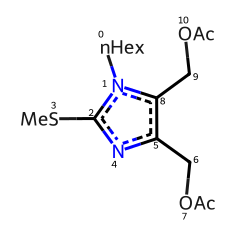 CCCCCCn1c(SC)nc(COC(C)=O)c1COC(C)=O